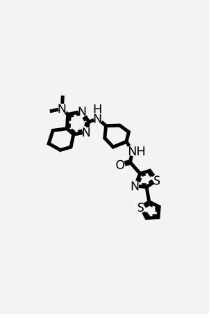 CN(C)c1nc(NC2CCC(NC(=O)c3csc(-c4cccs4)n3)CC2)nc2c1CCCC2